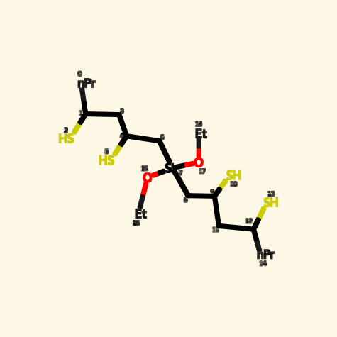 CCCC(S)CC(S)C[Si](CC(S)CC(S)CCC)(OCC)OCC